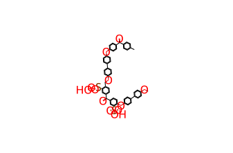 COc1ccc(-c2ccc(Oc3ccc(C(=O)c4ccc(COc5ccc(-c6ccc(Oc7ccc(C(=O)c8ccc(C)cc8)cc7)cc6)cc5)c(SOOO)c4)cc3S(=O)(=O)O)cc2)cc1